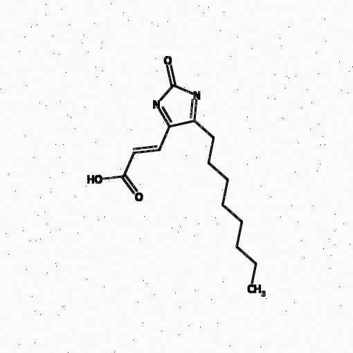 CCCCCCCCC1=NC(=O)N=C1C=CC(=O)O